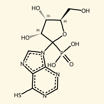 O=P(O)(O)C1(n2cnc3c(S)ncnc32)O[C@H](CO)[C@@H](O)[C@H]1O